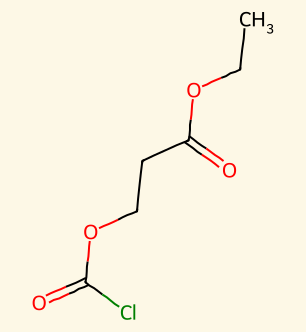 CCOC(=O)CCOC(=O)Cl